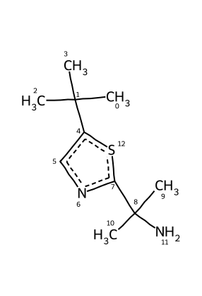 CC(C)(C)c1cnc(C(C)(C)N)s1